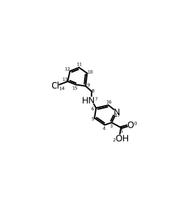 O=C(O)c1ccc(NCc2cccc(Cl)c2)cn1